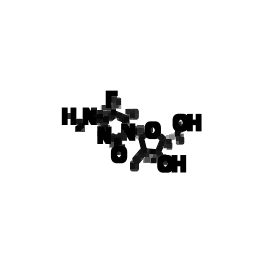 C=C1C(O)[C@@H](CO)O[C@H]1n1cc(F)c(N)nc1=O